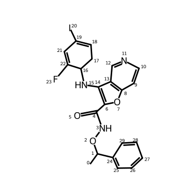 CC(ONC(=O)c1oc2ccncc2c1NC1CC=C(I)C=C1F)c1ccccc1